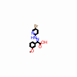 COc1cccc(/C(=N\Nc2ccc(Br)cn2)C(=O)O)c1